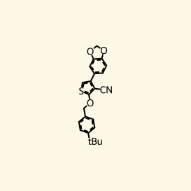 CC(C)(C)c1ccc(COc2scc(-c3ccc4c(c3)OCO4)c2C#N)cc1